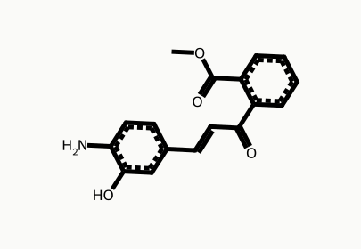 COC(=O)c1ccccc1C(=O)/C=C/c1ccc(N)c(O)c1